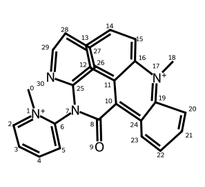 C[n+]1ccccc1N(C(=O)c1c2ccccc2[n+](C)c2ccccc12)c1ccccn1